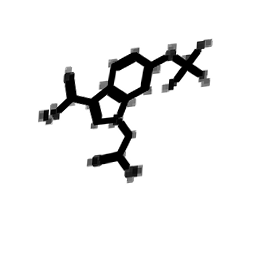 NC(=O)c1cn(CC(=O)O)c2cc(OC(F)(F)F)ccc12